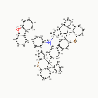 c1ccc2c(c1)Sc1ccccc1C21c2ccccc2-c2ccc(N(c3ccc(-c4cccc5oc6ccccc6c45)cc3)c3ccc4c(c3)C3(c5ccccc5Sc5ccccc53)c3ccccc3-4)cc21